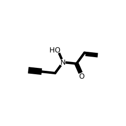 C#CCN(O)C(=O)C=C